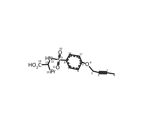 CC#CCOc1ccc(S(=O)(=O)NC(C(=O)O)C(C)C)cc1